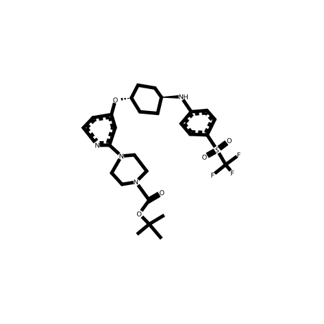 CC(C)(C)OC(=O)N1CCN(c2cc(O[C@H]3CC[C@H](Nc4ccc(S(=O)(=O)C(F)(F)F)cc4)CC3)ccn2)CC1